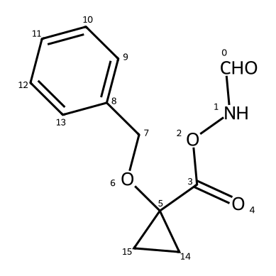 O=CNOC(=O)C1(OCc2ccccc2)CC1